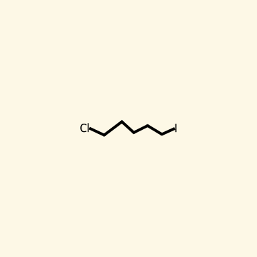 ClCCCCCI